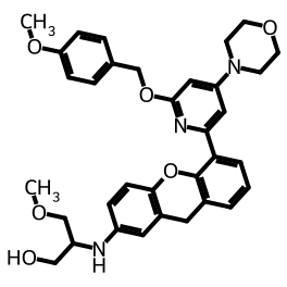 COCC(CO)Nc1ccc2c(c1)Cc1cccc(-c3cc(N4CCOCC4)cc(OCc4ccc(OC)cc4)n3)c1O2